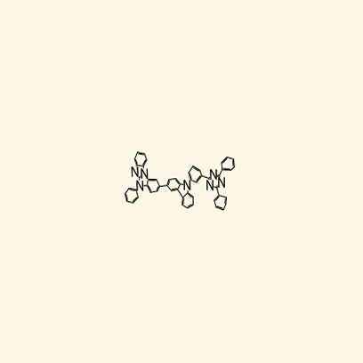 c1ccc(-c2nc(-c3ccccc3)nc(-c3cccc(-n4c5ccccc5c5cc(-c6ccc7c(c6)n6c8ccccc8nc6n7-c6ccccc6)ccc54)c3)n2)cc1